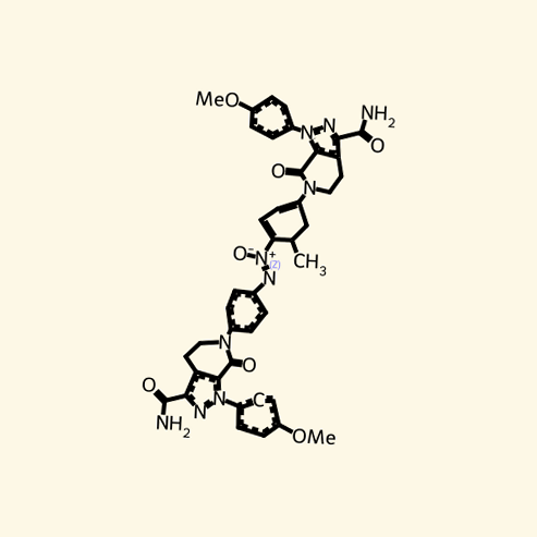 COc1ccc(-n2nc(C(N)=O)c3c2C(=O)N(C2=CC=C(/[N+]([O-])=N/c4ccc(N5CCc6c(C(N)=O)nn(-c7ccc(OC)cc7)c6C5=O)cc4)C(C)C2)CC3)cc1